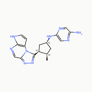 C[C@@H]1C[C@H](Nc2cnc(N)cn2)C[C@@H]1c1nnc2cnc3[nH]ccc3n12